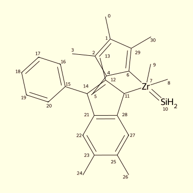 CC1=C(C)C(C)[C]([Zr]([CH3])([CH3])(=[SiH2])[CH]2C(C)=C(c3ccccc3)c3cc(C)c(C)cc32)=C1C